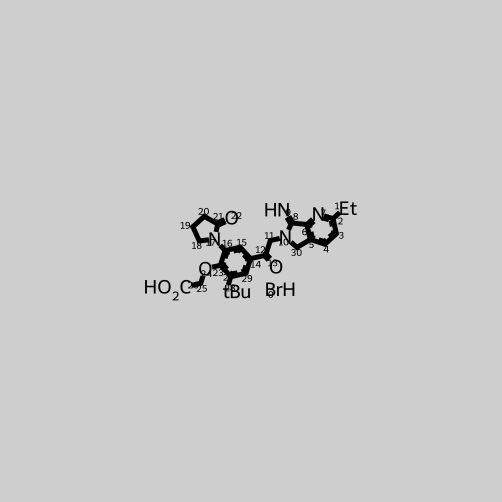 Br.CCc1ccc2c(n1)C(=N)N(CC(=O)c1cc(N3CCCC3=O)c(OCC(=O)O)c(C(C)(C)C)c1)C2